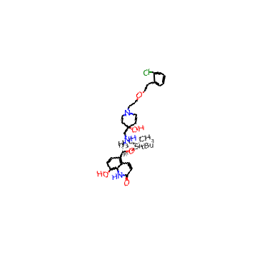 CC(C)(C)[Si](C)(C)O[C@@H](CNCC1(O)CCN(CCOCCc2ccccc2Cl)CC1)c1ccc(O)c2[nH]c(=O)ccc12